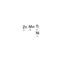 [Mn].[Ni].[Ti].[Zn]